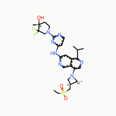 CCS(=O)(=O)C[C@H]1CN(c2cnc(C(C)C)c3cc(Nc4ccnc(N5CC[C@@](C)(O)C(F)(F)C5)n4)ncc23)[C@@H]1C